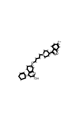 O[C@H]1CC([C@H]2C=CCCC2)C2=C(C[C@H](OCCCCN3CCC(c4noc5cc(F)ccc45)CC3)CC2)O1